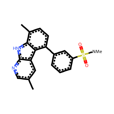 CNS(=O)(=O)c1cccc(-c2ccc(C)c3[nH]c4ncc(C)cc4c23)c1